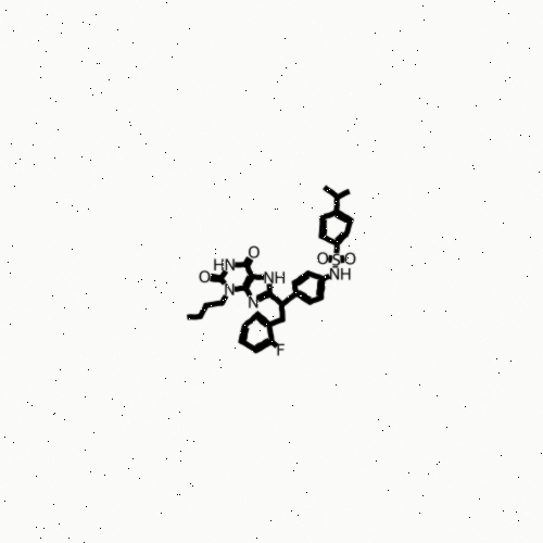 CCCCn1c(=O)[nH]c(=O)c2[nH]c(C(Cc3ccccc3F)c3ccc(NS(=O)(=O)c4ccc(C(C)C)cc4)cc3)nc21